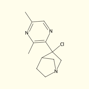 Cc1cnc(C2(Cl)CN3CCC2C3)c(C)n1